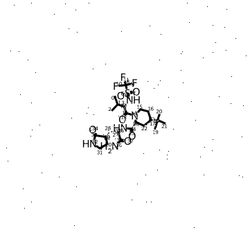 CC(C)[C@H](NS(=O)(=O)C(F)(F)F)C(=O)N1CC[C@H](C(C)(C)C)C[C@@H]1C(=O)N[C@@H](C[C@@H]1CCNC1=O)C(N)=O